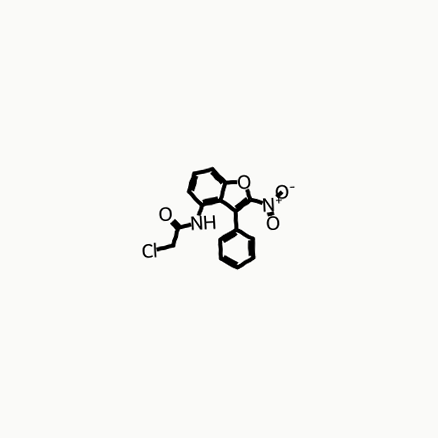 O=C(CCl)Nc1cccc2oc([N+](=O)[O-])c(-c3ccccc3)c12